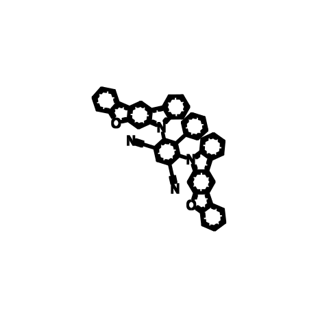 N#Cc1cc(C#N)c(-n2c3ccccc3c3cc4c(cc32)oc2ccccc24)c(-c2ccccc2)c1-n1c2ccccc2c2cc3c(cc21)oc1ccccc13